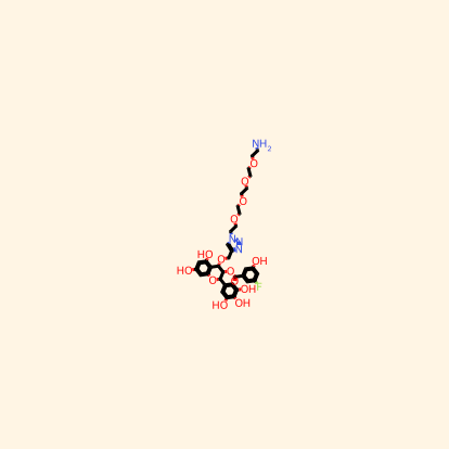 NCCOCCOCCOCCOCCn1cc(COC2c3c(O)cc(O)cc3OC(c3cc(O)c(O)c(O)c3)C2OC(=O)c2cc(O)cc(F)c2)nn1